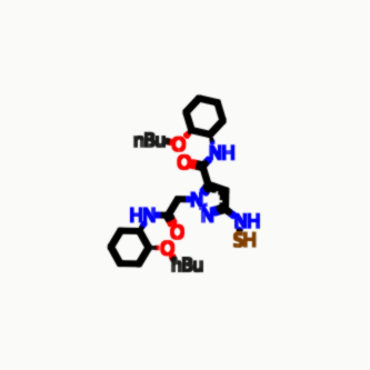 CCCCO[C@H]1CCCC[C@@H]1NC(=O)c1cc(NS)nn1CC(=O)N[C@@H]1CCCC[C@H]1OCCCC